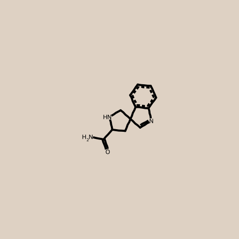 NC(=O)C1CC2(C=Nc3ccccc32)CN1